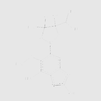 COc1c(B2OC(C)(C)C(C)(C(C)C)O2)cc2oc(C)nc2c1C